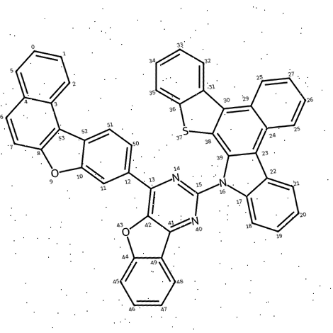 c1ccc2c(c1)ccc1oc3cc(-c4nc(-n5c6ccccc6c6c7ccccc7c7c8ccccc8sc7c65)nc5c4oc4ccccc45)ccc3c12